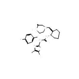 CC(=O)c1sc(NC(=O)N[C@@H]2CCCC/C2=C/N2CC(=O)N[C@@H](Cc3ccc(F)cc3)C2)nc1C